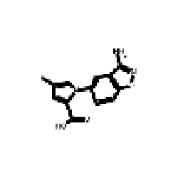 Cc1cc(C(=O)O)n(-c2ccc3onc(N)c3c2)c1